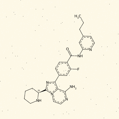 CCCc1ccnc(NC(=O)c2ccc(-c3nc([C@@H]4CCCCN4)n4ccnc(N)c34)cc2F)c1